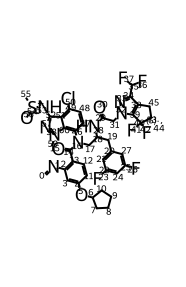 C=Nc1cc(OC2CCCC2)ccc1C(=O)N(CC(Cc1cc(F)cc(F)c1)NC(=O)Cn1nc(C(F)F)c2c1C(F)(F)[C@@H](C)C2)c1ccc(Cl)c2c(N[S+](C)[O-])nn(C)c12